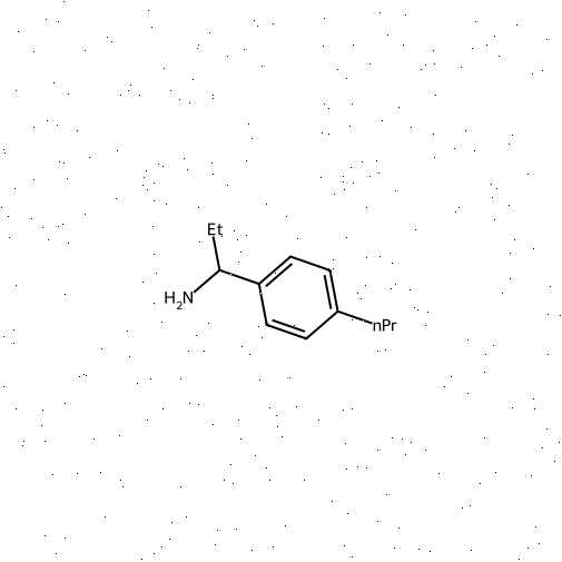 CCCc1ccc(C(N)CC)cc1